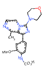 COc1cc(-c2nc(N3CCOCC3)n3ccnc(C)c23)ccc1NC(=O)O